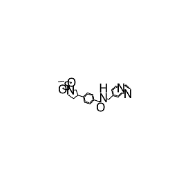 CCS(=O)(=O)N1CCC(c2ccc(C(=O)NCc3ccn4ccnc4c3)cc2)C1